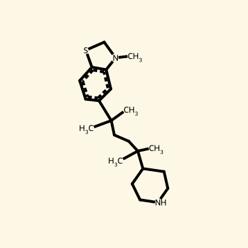 CN1CSc2ccc(C(C)(C)CCC(C)(C)C3CCNCC3)cc21